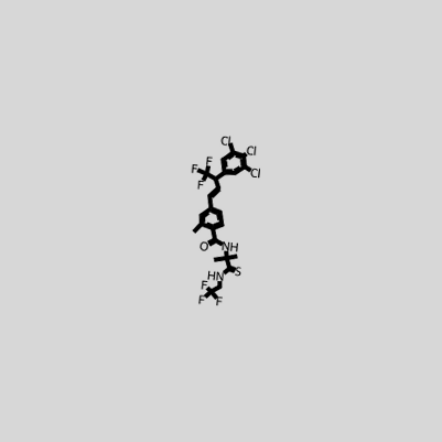 Cc1cc(/C=C/C(c2cc(Cl)c(Cl)c(Cl)c2)C(F)(F)F)ccc1C(=O)NC(C)(C)C(=S)NCC(F)(F)F